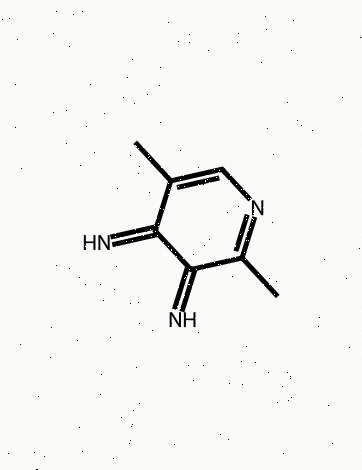 CC1=CN=C(C)C(=N)C1=N